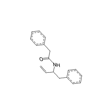 C=CC(Cc1ccccc1)NC(=O)Cc1ccccc1